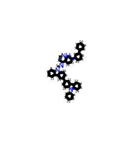 N/C=C\C(=N/Cn1c2ccccc2c2cc(-c3ccc4c(c3)c3ccccc3n4-c3ccccc3)ccc21)c1ccc(-c2cccc(-c3ccccc3)c2)cc1